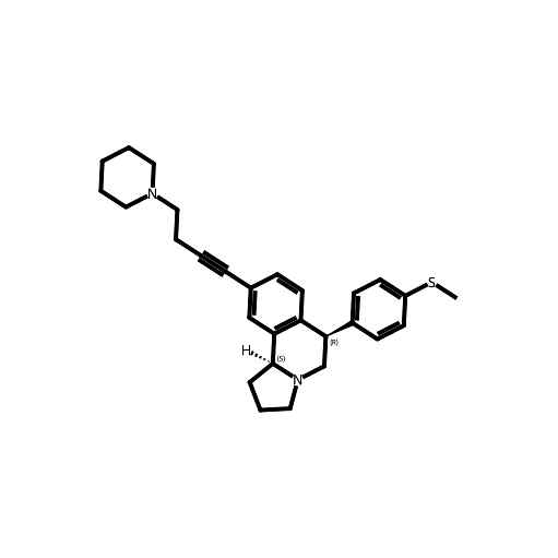 CSc1ccc([C@H]2CN3CCC[C@H]3c3cc(C#CCCN4CCCCC4)ccc32)cc1